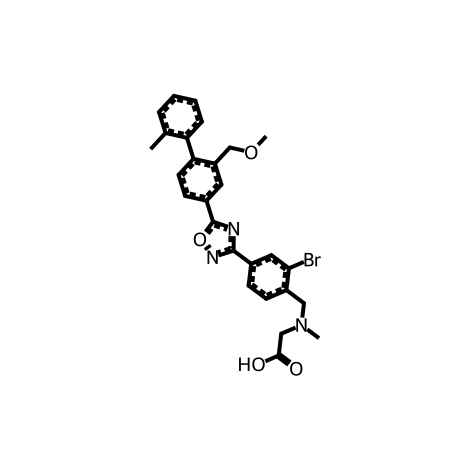 COCc1cc(-c2nc(-c3ccc(CN(C)CC(=O)O)c(Br)c3)no2)ccc1-c1ccccc1C